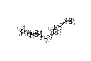 C=C(C)C(=O)OCCOC(=O)NCCC(C)(C)CC(C)CNC(=O)OC(C)COC(=O)NCCC(C)(C)CC(C)CNC(=O)Nc1nc(=O)cc(C)[nH]1